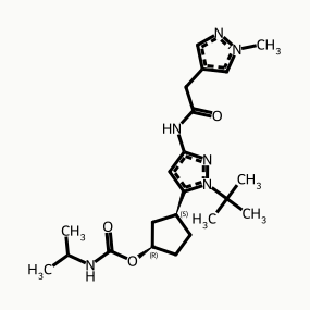 CC(C)NC(=O)O[C@@H]1CC[C@H](c2cc(NC(=O)Cc3cnn(C)c3)nn2C(C)(C)C)C1